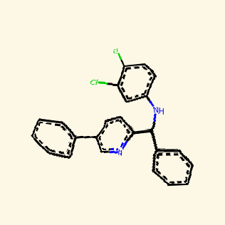 Clc1ccc(NC(c2ccccc2)c2ccc(-c3ccccc3)cn2)cc1Cl